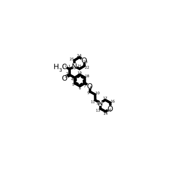 CC(C(=O)c1ccc(OCCCN2CCOCC2)cc1)N1CCOCC1